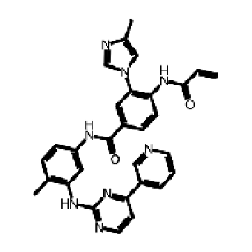 C=CC(=O)Nc1ccc(C(=O)Nc2ccc(C)c(Nc3nccc(-c4cccnc4)n3)c2)cc1-n1cnc(C)c1